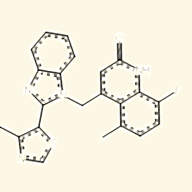 Cc1ncsc1-c1nc2ccccc2n1Cc1cc(=O)[nH]c2c(F)ccc(C)c12